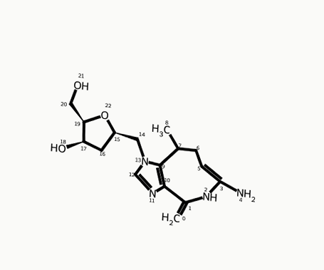 C=C1N/C(N)=C/CC(C)c2c1ncn2C[C@H]1C[C@@H](O)[C@@H](CO)O1